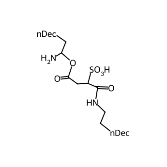 CCCCCCCCCCCCNC(=O)C(CC(=O)OC(N)CCCCCCCCCCC)S(=O)(=O)O